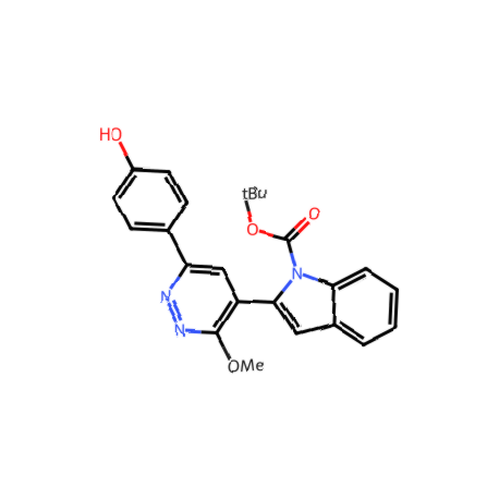 COc1nnc(-c2ccc(O)cc2)cc1-c1cc2ccccc2n1C(=O)OC(C)(C)C